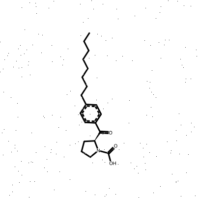 CCCCCCCCc1ccc(C(=O)[C@@H]2CCCN2C(=O)O)cc1